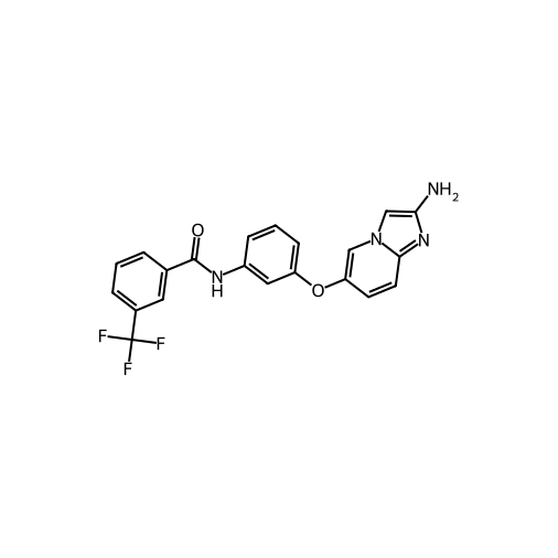 Nc1cn2cc(Oc3cccc(NC(=O)c4cccc(C(F)(F)F)c4)c3)ccc2n1